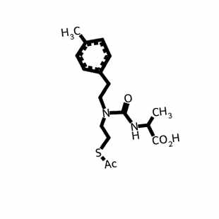 CC(=O)SCCN(CCc1ccc(C)cc1)C(=O)NC(C)C(=O)O